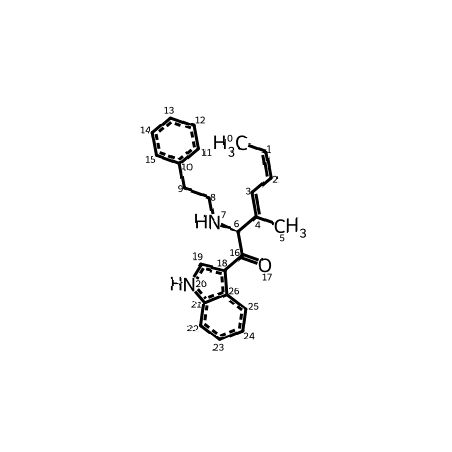 C/C=C\C=C(/C)[C@H](NCCc1ccccc1)C(=O)c1c[nH]c2ccccc12